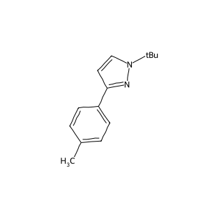 Cc1ccc(-c2ccn(C(C)(C)C)n2)cc1